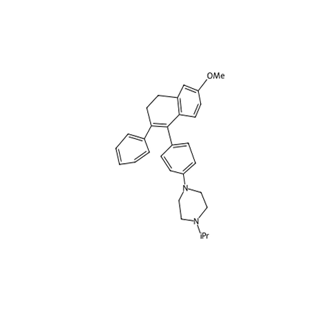 COc1ccc2c(c1)CCC(c1ccccc1)=C2c1ccc(N2CCN(C(C)C)CC2)cc1